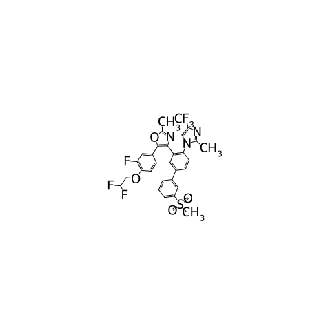 Cc1nc(-c2cc(-c3cccc(S(C)(=O)=O)c3)ccc2-n2cc(C(F)(F)F)nc2C)c(-c2ccc(OCC(F)F)c(F)c2)o1